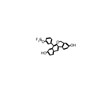 Oc1ccc2c(c1)COc1c-2cc2ccc(O)cc2c1-c1cccc(OC(F)(F)F)c1